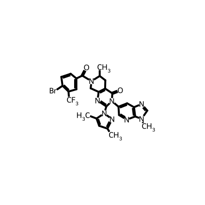 Cc1cc(C)n(-c2nc3c(c(=O)n2-c2cnc4c(c2)ncn4C)CC(C)N(C(=O)c2ccc(Br)c(C(F)(F)F)c2)C3)n1